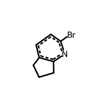 Brc1ccc2c(n1)CCC2